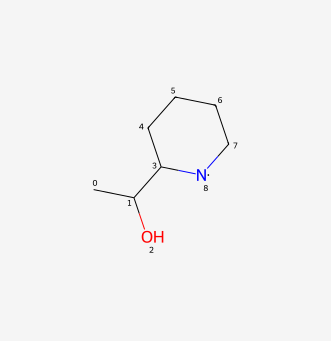 CC(O)C1CCCC[N]1